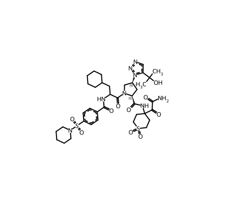 CC(C)(O)c1cnnn1[C@H]1C[C@@H](C(=O)NC2(C(=O)C(N)=O)CCS(=O)(=O)CC2)N(C(=O)C(CC2CCCCC2)NC(=O)c2ccc(S(=O)(=O)N3CCCCC3)cc2)C1